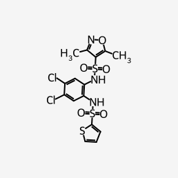 Cc1noc(C)c1S(=O)(=O)Nc1cc(Cl)c(Cl)cc1NS(=O)(=O)c1cccs1